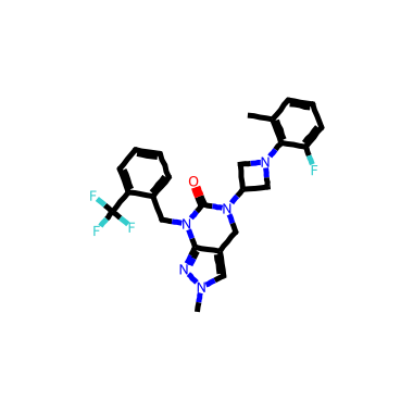 Cc1cccc(F)c1N1CC(N2Cc3cn(C)nc3N(Cc3ccccc3C(F)(F)F)C2=O)C1